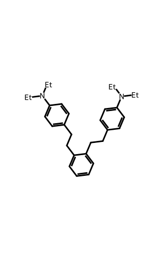 CCN(CC)c1ccc(CCc2ccccc2CCc2ccc(N(CC)CC)cc2)cc1